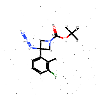 Cc1c(Cl)cccc1C1(N=[N+]=[N-])CN(C(=O)OC(C)(C)C)C1